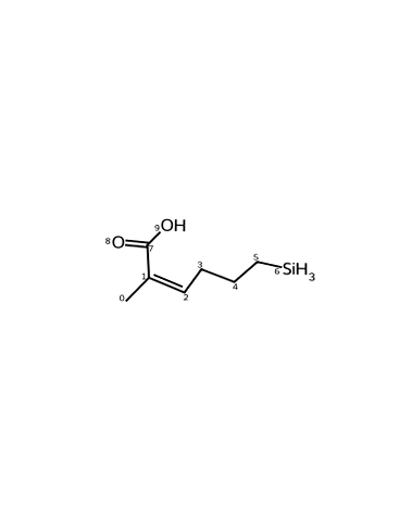 CC(=CCCC[SiH3])C(=O)O